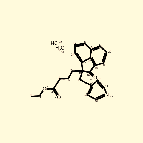 CCOC(=O)CCCC1(Cc2ccncc2)C(=O)c2cccc3cccc1c23.Cl.O